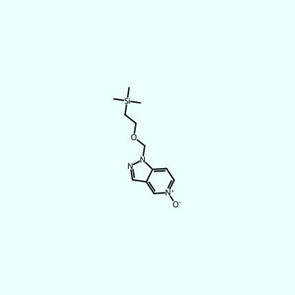 C[Si](C)(C)CCOCn1ncc2c[n+]([O-])ccc21